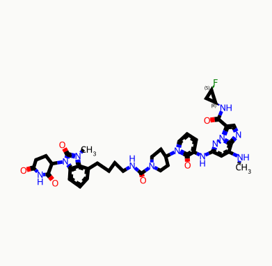 CNc1cc(Nc2cccn(C3CCN(C(=O)NCCCCc4cccc5c4n(C)c(=O)n5C4CCC(=O)NC4=O)CC3)c2=O)nn2c(C(=O)N[C@@H]3C[C@@H]3F)cnc12